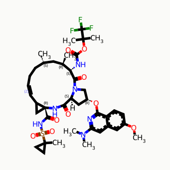 COc1ccc2c(O[C@@H]3C[C@H]4C(=O)N[C@]5(C(=O)NS(=O)(=O)C6(C)CC6)CC5/C=C\CC[C@H](C)C[C@@H](C)[C@H](NC(=O)OC(C)(C)C(F)(F)F)C(=O)N4C3)nc(N(C)C)cc2c1